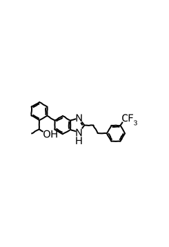 CC(O)c1ccccc1-c1ccc2[nH]c(CCc3cccc(C(F)(F)F)c3)nc2c1